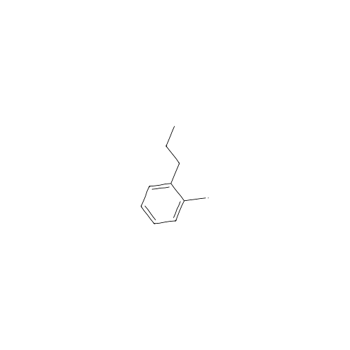 [CH2]c1ccccc1CCC